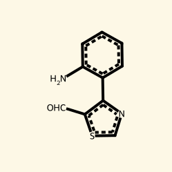 Nc1ccccc1-c1ncsc1C=O